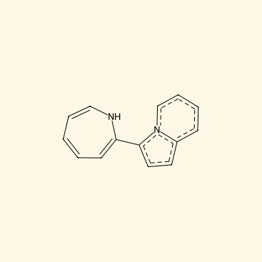 C1=CC=C(c2ccc3ccccn23)NC=C1